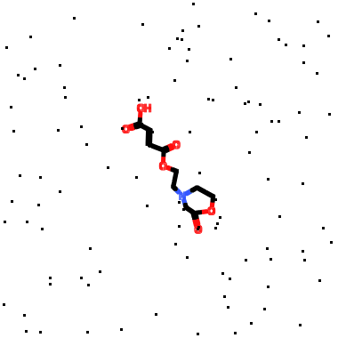 O=C(O)C=CC(=O)OCCN1CCOC(=O)C1